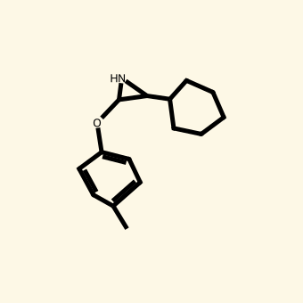 Cc1ccc(OC2NC2C2CCCCC2)cc1